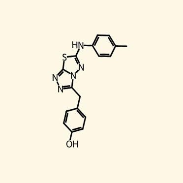 Cc1ccc(Nc2nn3c(Cc4ccc(O)cc4)nnc3s2)cc1